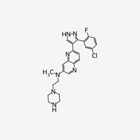 CN(CCN1CCNCC1)c1cnc2ccc(-c3c[nH]nc3-c3cc(Cl)ccc3F)nc2c1